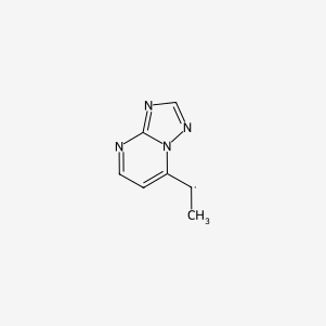 C[CH]c1ccnc2ncnn12